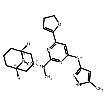 Cc1cc(Nc2cc(C3=CCCO3)nc(N(C)[C@H]3C[C@H]4CCC[C@@H](C3)N4C(=O)O)n2)n[nH]1